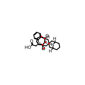 O=C(O)Cn1c(=O)n([C@H]2C[C@H]3CCC[C@@H](C2)N3[C@@H]2C[C@@H]3CCCC[C@@H](C3)C2)c(=O)c2ccccc21